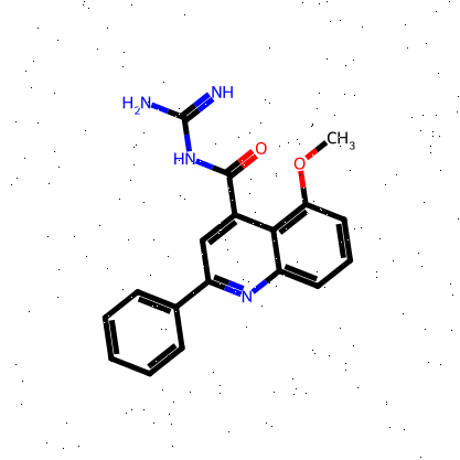 COc1cccc2nc(-c3ccccc3)cc(C(=O)NC(=N)N)c12